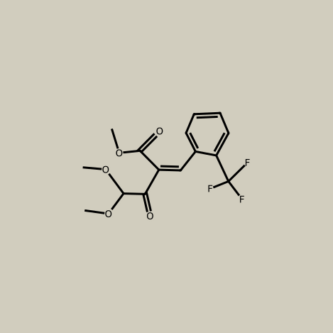 COC(=O)C(=Cc1ccccc1C(F)(F)F)C(=O)C(OC)OC